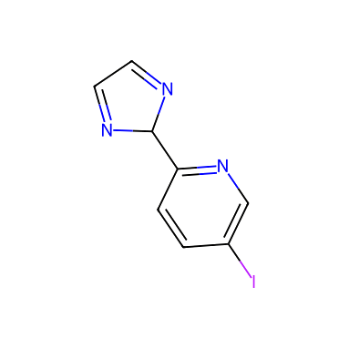 Ic1ccc(C2N=CC=N2)nc1